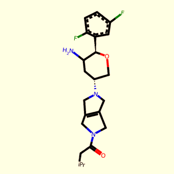 CC(C)CC(=O)N1CC2=C(C1)CN([C@H]1CO[C@H](c3cc(F)ccc3F)C(N)C1)C2